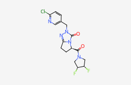 O=C([C@H]1CCc2nn(Cc3ccc(Cl)nc3)c(=O)n21)N1C[C@@H](F)[C@@H](F)C1